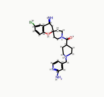 N=C1CC2(CCN(C(=O)C3CCN(Cc4ccnc(N)c4)CC3)CC2)Oc2ccc(Br)cc21